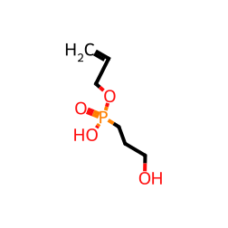 C=CCOP(=O)(O)CCCO